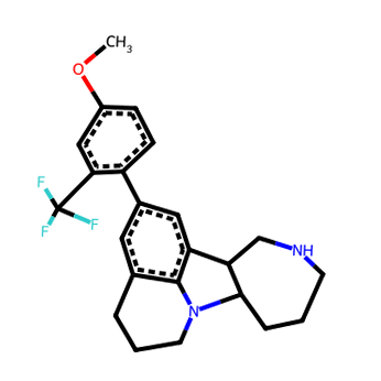 COc1ccc(-c2cc3c4c(c2)C2CNCCCC2N4CCC3)c(C(F)(F)F)c1